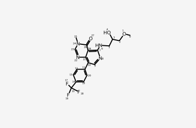 COCC(O)CNc1ncc(-c2ccc(C(F)(F)F)cc2)c2ncn(C)c(=O)c12